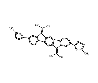 Cc1ccc(-c2ccc3c(c2)C(=C(C#N)C#N)c2nc4c(nc2-3)C(=C(C#N)C#N)c2cc(-c3ccc(C(F)(F)F)s3)ccc2-4)s1